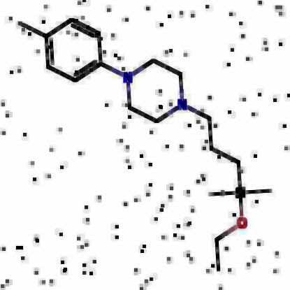 CCO[Si](C)(C)CCCN1CCN(c2ccc(C)cc2)CC1